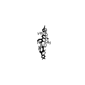 Cc1cc(Nc2cc(-c3ccnc(-n4ncc5c6c(sc5c4=O)CC(C)(C)C6)c3CO)cn(C)c2=O)no1